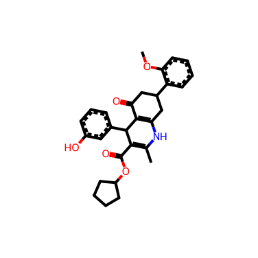 COc1ccccc1C1CC(=O)C2=C(C1)NC(C)=C(C(=O)OC1CCCC1)C2c1cccc(O)c1